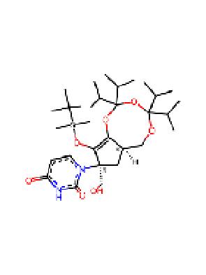 CC(C)C1(C(C)C)OC[C@H]2C[C@@](CO)(n3ccc(=O)[nH]c3=O)C(O[Si](C)(C)C(C)(C)C)=C2OC(C(C)C)(C(C)C)O1